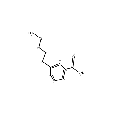 CC(=O)c1cccc(CCCON)n1